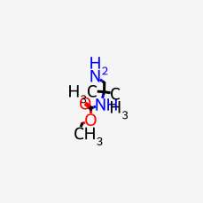 CCOC(=O)NC(C)(C)CN